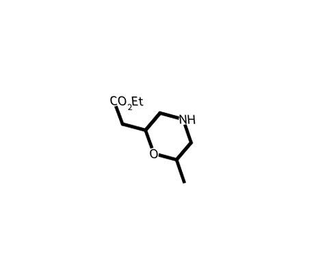 CCOC(=O)CC1CNCC(C)O1